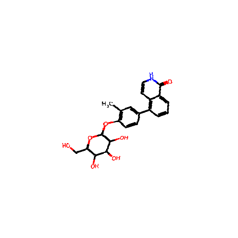 Cc1cc(-c2cccc3c(=O)[nH]ccc23)ccc1OC1OC(CO)C(O)C(O)C1O